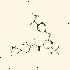 CNC(=O)c1ccc(Oc2cc(NC(=O)N3CCC(O)(CC(C)C)CC3)cc(C(F)(F)F)c2)nc1